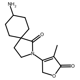 CC1=C(N2CCC3(CCC(N)CC3)C2=O)COC1=O